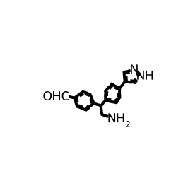 NCC(c1ccc(C=O)cc1)c1ccc(-c2cn[nH]c2)cc1